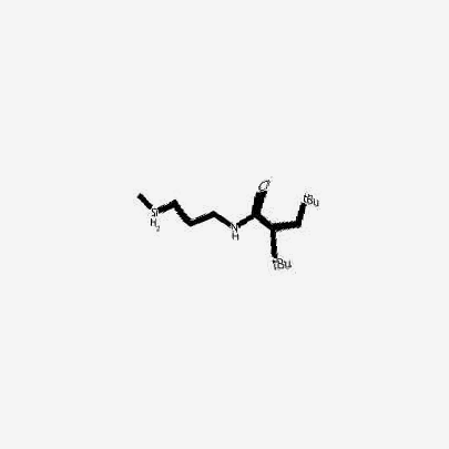 C[SiH2]CCCNC(=O)C(CC(C)(C)C)C(C)(C)C